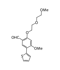 COCCOCCOc1cc(OC)c(-c2cccs2)cc1C=O